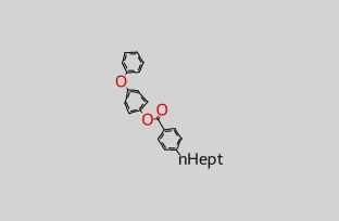 CCCCCCCc1ccc(C(=O)Oc2ccc(Oc3ccccc3)cc2)cc1